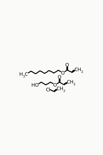 C=CC(=O)OCCCCCCCC.C=CC(=O)OCCCO.C=CCl